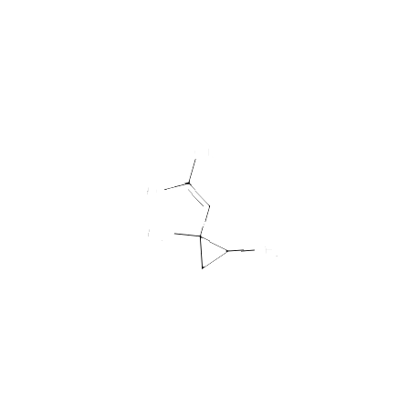 CC(C)=CC1(C(=O)O)CC1C